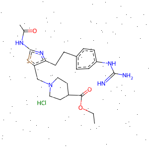 CCOC(=O)C1CCN(Cc2sc(NC(C)=O)nc2CCc2ccc(NC(=N)N)cc2)CC1.Cl